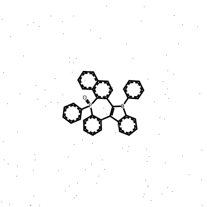 O=P1(c2ccccc2)c2ccccc2C2=C(B(c3ccccc3)c3ccccc32)c2ccc3ccccc3c21